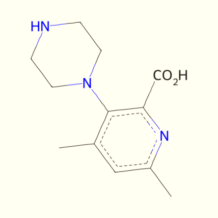 Cc1cc(C)c(N2CCNCC2)c(C(=O)O)n1